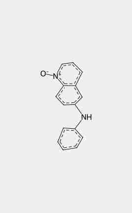 [O-][n+]1cccc2cc(Nc3ccccc3)ccc21